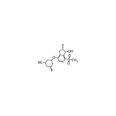 CS(=O)(=O)c1ccc(OC2CC(C#N)C[C@H](F)C2)c2c1[C@H](O)[C@H](F)C2